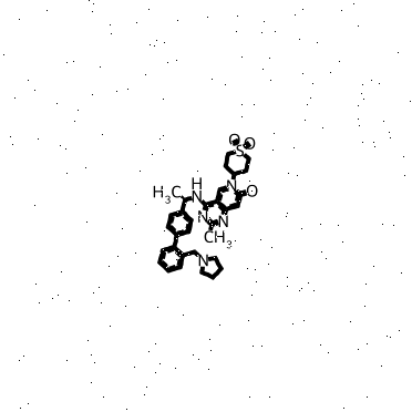 Cc1nc(N[C@H](C)c2ccc(-c3ccccc3CN3CCCC3)cc2)c2cn(C3CCS(=O)(=O)CC3)c(=O)cc2n1